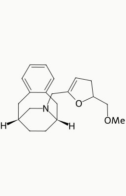 COCC1CC=C(CN2C[C@@H]3CC[C@H]2Cc2ccccc2C3)O1